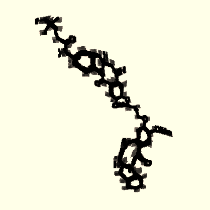 COc1cc2c(cc1OCSCOc1cc3c(cc1OC)C(=O)N1c4ccc(NC(=O)CCC(C)(C)S)cc4C[C@H]1CN3)N=C[C@@H]1Cc3ccccc3N1C2=O